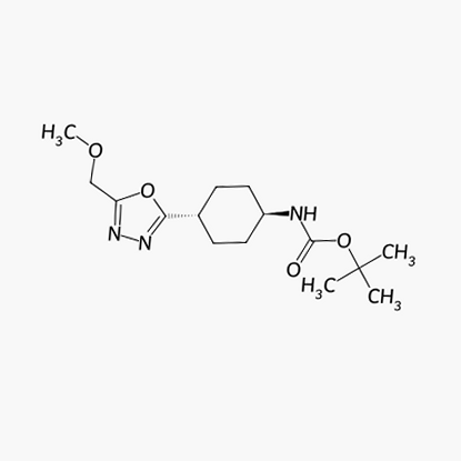 COCc1nnc([C@H]2CC[C@H](NC(=O)OC(C)(C)C)CC2)o1